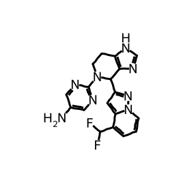 Nc1cnc(N2CCc3[nH]cnc3C2c2cc3c(C(F)F)cccn3n2)nc1